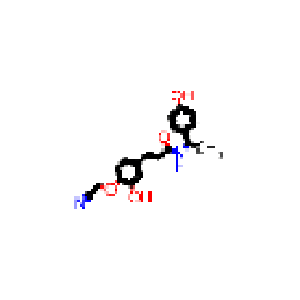 CC(NC(=O)/C=C/c1ccc(OCC#N)c(O)c1)c1ccc(O)cc1